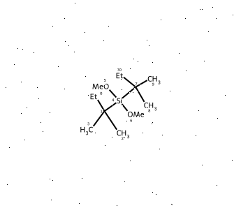 CCC(C)(C)[Si](OC)(OC)C(C)(C)CC